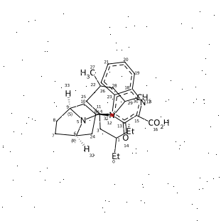 CCC(CC)CC1(N2[C@@H]3CC[C@H]2C[C@@H](n2c(=O)c(C(=O)O)nc4ccccc42)C3)CC(C)CC(C)C1